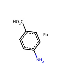 Nc1ccc(C(=O)O)cc1.[Ru]